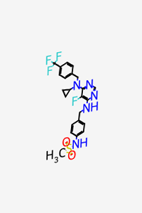 CS(=O)(=O)Nc1ccc(CNc2ncnc(N(Cc3ccc(C(F)(F)F)cc3)C3CC3)c2F)cc1